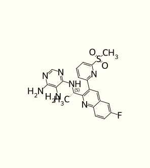 C[C@H](Nc1ncnc(N)c1N)c1nc2ccc(F)cc2cc1-c1cccc(S(C)(=O)=O)n1